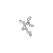 c1ccc(-c2ccc3c(c2)c2cc4c5ccccc5c5cc(-c6ccc7c(c6)oc6ccccc67)ccc5c4cc2n3-c2cc(-c3ccc4ccccc4c3)nc(-c3ccc4ccccc4c3)n2)cc1